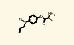 C=CCN(CC)c1ccc(OC(=O)[C@H](C)N)cc1